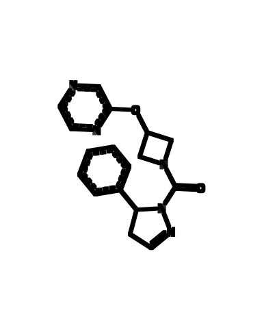 O=C(N1CC(Oc2cnccn2)C1)N1N=CCC1c1ccccc1